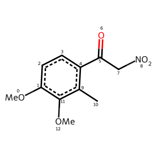 COc1ccc(C(=O)C[N+](=O)[O-])c(C)c1OC